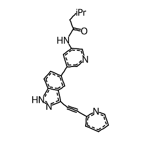 CC(C)CC(=O)Nc1cncc(-c2ccc3[nH]nc(C#Cc4ccccn4)c3c2)c1